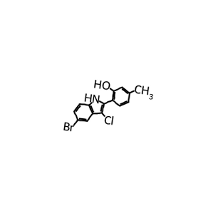 Cc1ccc(-c2[nH]c3ccc(Br)cc3c2Cl)c(O)c1